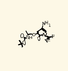 CC(COc1cc(N)cn(C(F)F)c1=O)NC(=O)OC(C)(C)C